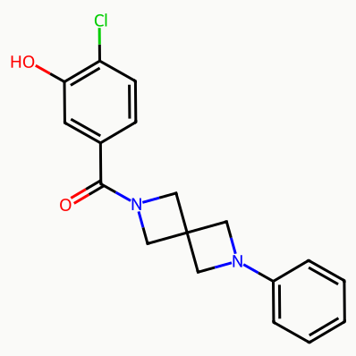 O=C(c1ccc(Cl)c(O)c1)N1CC2(C1)CN(c1ccccc1)C2